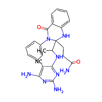 CC(Nc1nc(N)nc(N)c1C#N)C1(CCC(N)=O)Nc2ccccc2C(=O)N1c1ccccc1